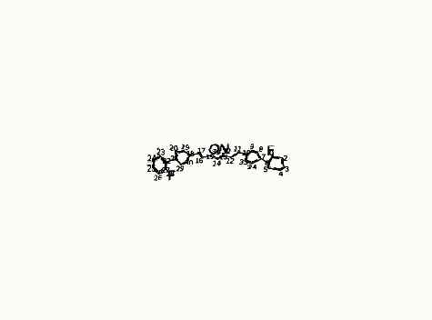 Fc1ccccc1-c1ccc(/C=C/c2cc(/C=C/c3ccc(-c4ccccc4F)cc3)on2)cc1